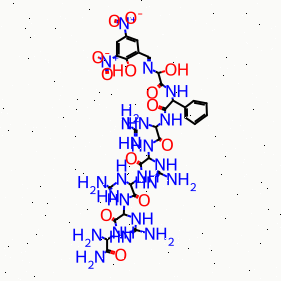 N=C(N)NC(NC(=O)C(NC(=N)N)NC(=O)C(NC(=N)N)NC(=O)C(NC(=N)N)NC(=O)C(NC(=O)C(O)/N=C/c1cc([N+](=O)[O-])cc([N+](=O)[O-])c1O)c1ccccc1)C(=O)NC(N)C(N)=O